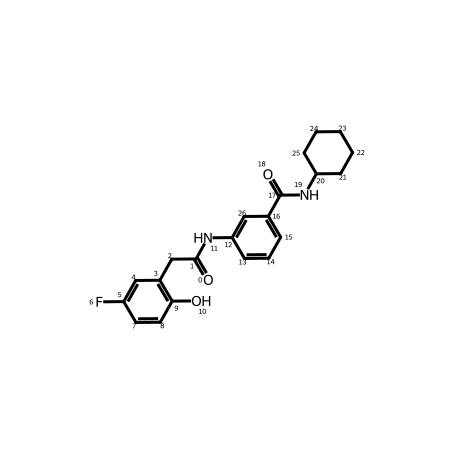 O=C(Cc1cc(F)ccc1O)Nc1cccc(C(=O)NC2CCCCC2)c1